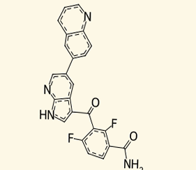 NC(=O)c1ccc(F)c(C(=O)c2c[nH]c3ncc(-c4ccc5ncccc5c4)cc23)c1F